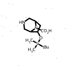 CC(C)(C)[Si](C)(C)OC1CC2CNCC1N2C(=O)O